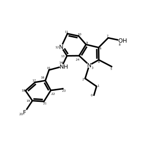 CCCn1c(C)c(CO)c2ccnc(NCc3ccc(F)cc3C)c21